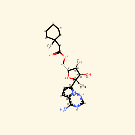 CC1(CC(=O)OC[C@H]2O[C@@](C)(c3ccc4c(N)ncnn34)[C@H](O)[C@@H]2O)CCCCC1